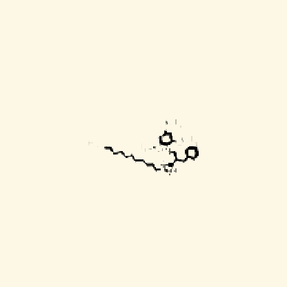 CCCCCCCCCCCCn1nnc(C(Cc2ccccc2)C(=O)Nc2c(OC)cc(OC)cc2OC)n1